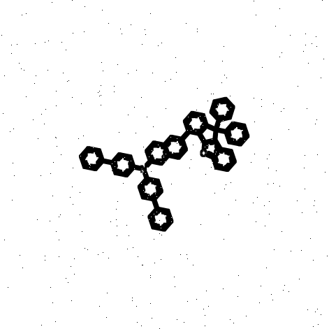 c1ccc(-c2ccc(N(c3ccc(-c4ccccc4)cc3)c3ccc4cc(-c5cccc6c5-c5oc7ccccc7c5C6(c5ccccc5)c5ccccc5)ccc4c3)cc2)cc1